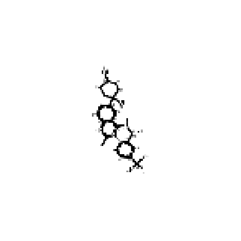 Cc1nc(N[C@H](C)c2cccc(C(F)(F)F)c2)c2cc(C3(O)CCC(O)CC3)ccc2n1